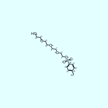 O=S(=O)(OCCOCCOCCOCCO)c1ccc(I)cc1